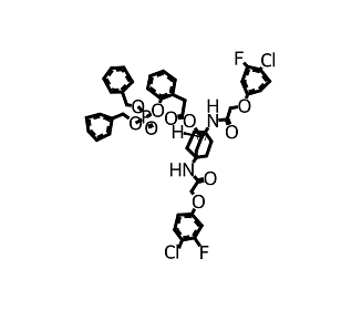 O=C(COc1ccc(Cl)c(F)c1)NC12CCC(NC(=O)COc3ccc(Cl)c(F)c3)(CC1)[C@@H](OC(=O)Cc1ccccc1OP(=O)(OCc1ccccc1)OCc1ccccc1)C2